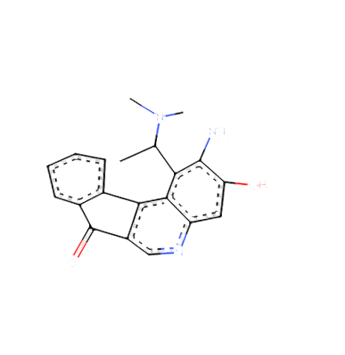 CC(c1c(N)c(O)cc2ncc3c(c12)-c1ccccc1C3=O)N(C)C